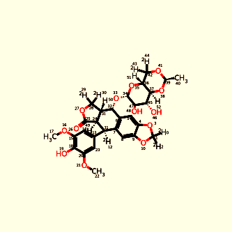 [2H]C1([2H])Oc2cc3c(cc2O1)[C@@]([2H])(c1cc(OC)c(O)c(OC)c1)[C@H]1C(=O)OC([2H])([2H])[C@@H]1[C@@H]3O[C@@H]1O[C@H]2[C@@H](O[C@H](C)OC2([2H])[2H])[C@H](O)[C@H]1O